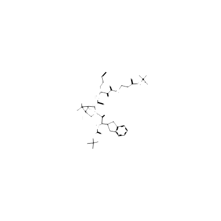 C=CCC[C@H](NC(=O)[C@@H]1[C@H]2[C@@H](CN1C(=O)C(NC(=O)OC(C)(C)C)C1Cc3ccccc3C1)C2(Cl)Cl)C(=O)C(=O)NCCC(=O)NC(C)(C)C